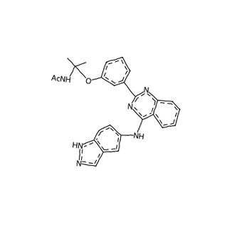 CC(=O)NC(C)(C)Oc1cccc(-c2nc(Nc3ccc4[nH]ncc4c3)c3ccccc3n2)c1